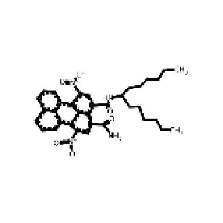 CCCCCCC(CCCCCC)NC(=O)c1cc([N+](=O)[O-])c2c3cccc4cccc(c5c([N+](=O)[O-])cc(C(N)=O)c1c52)c43